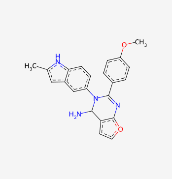 COc1ccc(C2=Nc3occc3C(N)N2c2ccc3[nH]c(C)cc3c2)cc1